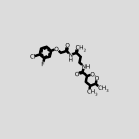 C=C(CCNC(=O)C1CC(C)C(C)OO1)NC(=O)COc1ccc(Cl)c(F)c1